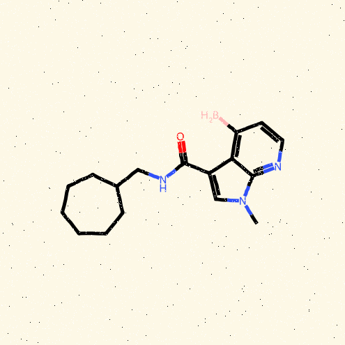 Bc1ccnc2c1c(C(=O)NCC1CCCCCC1)cn2C